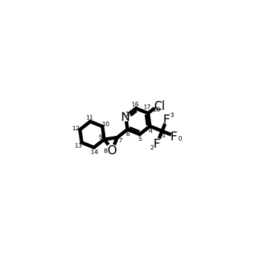 FC(F)(F)c1cc(C2OC23CCCCC3)ncc1Cl